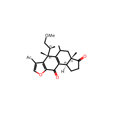 COC[C@@H](C)[C@]1(C)C2=C(C(=O)c3occ(C(C)=O)c31)[C@@H]1CCC(=O)[C@@]1(C)CC2C